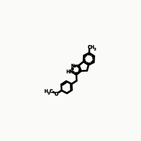 COC1C=CC(Cc2[nH]nc3c2Cc2ccc(C)cc2-3)=CC1